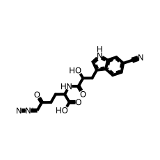 N#Cc1ccc2c(CC(O)C(=O)NC(CCC(=O)C=[N+]=[N-])C(=O)O)c[nH]c2c1